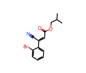 CC(C)COC(=O)C=C(C#N)c1ccccc1Br